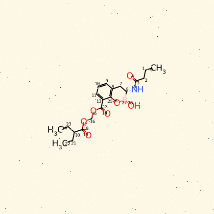 CCCC(=O)N[C@H]1Cc2cccc(C(=O)OCOC(=O)C(CC)CC)c2OB1O